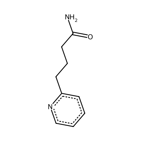 NC(=O)CCCc1ccccn1